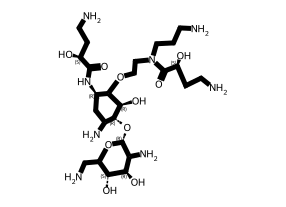 NCCCN(CCOC1[C@@H](O)[C@H](O[C@H]2OC(CN)[C@@H](O)[C@H](O)C2N)C(N)C[C@H]1NC(=O)[C@@H](O)CCN)C(=O)[C@@H](O)CCN